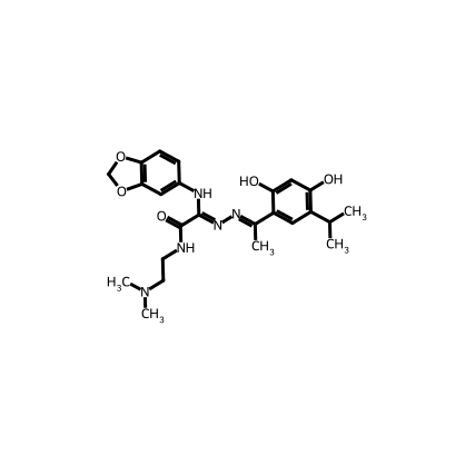 C/C(=N\N=C(/Nc1ccc2c(c1)OCO2)C(=O)NCCN(C)C)c1cc(C(C)C)c(O)cc1O